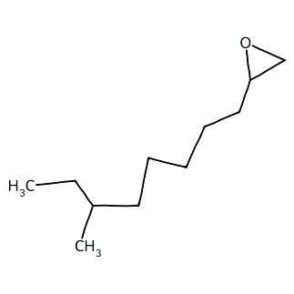 CCC(C)CCCCCC1CO1